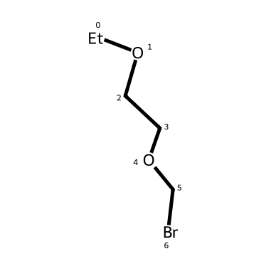 CCOCCOCBr